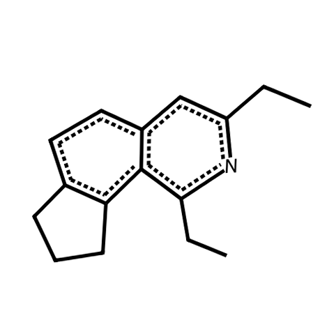 CCc1cc2ccc3c(c2c(CC)n1)CCC3